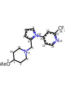 COC1CCN(Cc2cccn2-c2ccnc(C(F)(F)F)c2)CC1